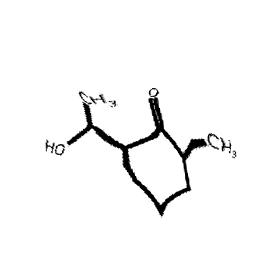 CC1CCCC(C(C)O)C1=O